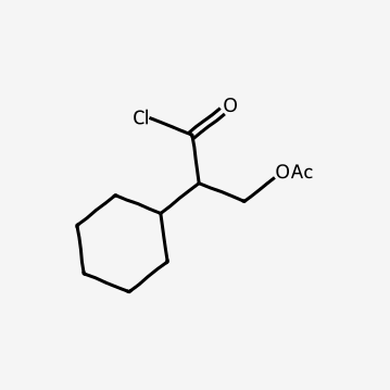 CC(=O)OCC(C(=O)Cl)C1CCCCC1